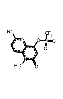 Cn1c(=O)cc(OS(=O)(=O)C(F)(F)F)c2nc(C#N)ccc21